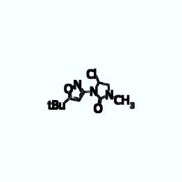 CN1CC(Cl)N(c2cc(C(C)(C)C)on2)C1=O